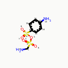 NCS(=O)(=O)OS(=O)(=O)c1ccc(N)cc1